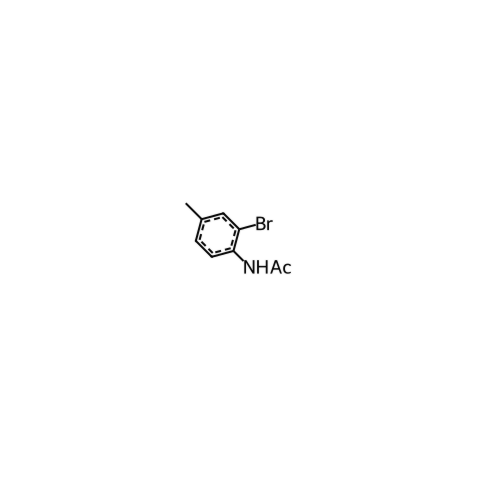 CC(=O)Nc1ccc(C)cc1Br